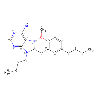 CCCCc1ccc(OC)c(Cc2nc3c(N)ncnc3n2CCCC)c1